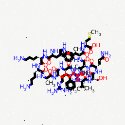 CC[C@H](C)[C@H](NC(=O)[C@@H](NC(=O)[C@H](CCC(N)=O)NC(=O)[C@H](CO)NC(=O)[C@@H](NC(=O)[C@H](Cc1ccccc1)NC(=O)[C@H](CCCN=C(N)N)NC(=O)[C@H](CCCN=C(N)N)NC(=O)[C@H](C)NC(=O)[C@H](CCCCN)NC(=O)[C@H](CCCCN)NC(=O)[C@@H](N)Cc1c[nH]c2ccccc12)C(C)C)C(C)C)C(=O)N[C@@H](CCSC)C(=O)O